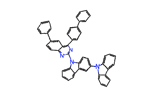 c1ccc(-c2ccc(-c3nc(-n4c5ccccc5c5cc(-n6c7ccccc7c7ccccc76)ccc54)nc4ccc(-c5ccccc5)cc34)cc2)cc1